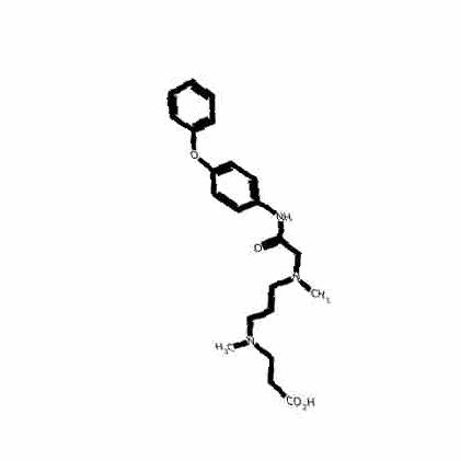 CN(CCCN(C)CC(=O)Nc1ccc(Oc2ccccc2)cc1)CCC(=O)O